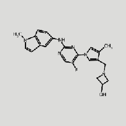 Cc1cn(-c2nc(Nc3ccc4c(ccn4C)c3)ncc2F)cc1CN1CC(O)C1